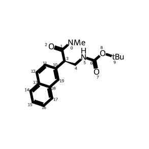 CNC(=O)[C@@H](CNC(=O)OC(C)(C)C)c1ccc2ccccc2c1